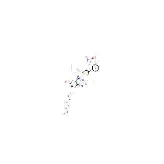 COc1cc2c(NC(C)c3cc(-c4ccccc4CN(C)C(=O)O)cs3)nc(C)nc2cc1OCCCCCCC=O